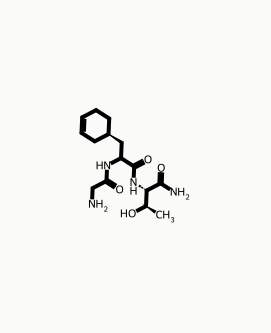 C[C@@H](O)[C@H](NC(=O)C(C[C@H]1CC=CCC1)NC(=O)CN)C(N)=O